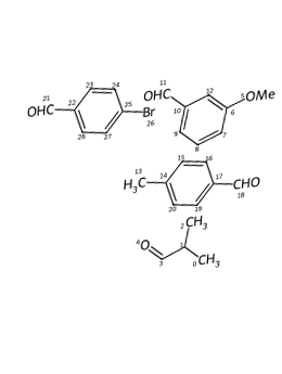 CC(C)C=O.COc1cccc(C=O)c1.Cc1ccc(C=O)cc1.O=Cc1ccc(Br)cc1